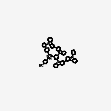 N#Cc1ccc(-c2nc(-c3ccccc3)cc(-c3cc(-n4c5ccccc5c5ccc(-c6ccc7c(c6)c6ccccc6n7-c6ccccc6)cc54)cc(-n4c5ccccc5c5ccc(-c6ccc7c(c6)c6ccccc6n7-c6ccccc6)cc54)c3)n2)cc1